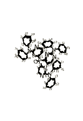 O=P(c1ccnc(N(c2ccccc2)c2ccccc2)n1)(c1ccnc(N(c2ccccc2)c2ccccc2)n1)c1ccnc(N(c2ccccc2)c2ccccc2)n1